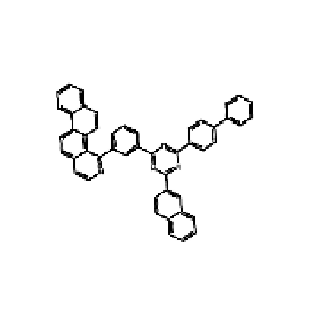 c1ccc(-c2ccc(-c3nc(-c4cccc(-c5nccc6ccc7c8ccccc8ccc7c56)c4)nc(-c4ccc5ccccc5c4)n3)cc2)cc1